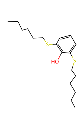 CCCCCCSc1cccc(SCCCCCC)c1O